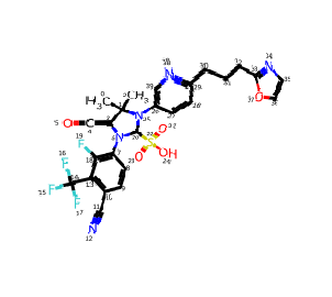 CC1(C)C(=C=O)N(c2ccc(C#N)c(C(F)(F)F)c2F)C(S(=O)(=O)O)N1c1ccc(CCCc2ncco2)nc1